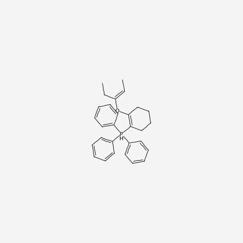 CC=C(CC)OC1=C([PH](c2ccccc2)(c2ccccc2)c2ccccc2)CCCC1